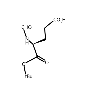 CC(C)(C)OC(=O)[C@H](CCC(=O)O)NC=O